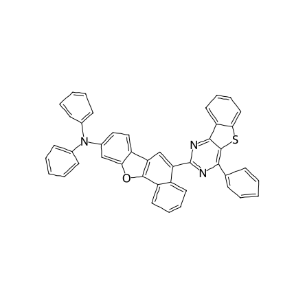 c1ccc(-c2nc(-c3cc4c5ccc(N(c6ccccc6)c6ccccc6)cc5oc4c4ccccc34)nc3c2sc2ccccc23)cc1